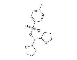 Cc1ccc(S(=O)(=O)OC(C2CCCO2)C2CCCO2)cc1